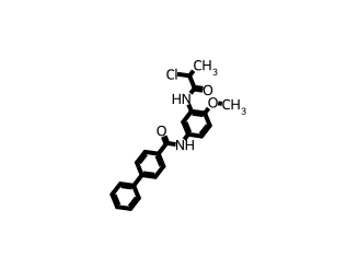 COc1ccc(NC(=O)c2ccc(-c3ccccc3)cc2)cc1NC(=O)C(C)Cl